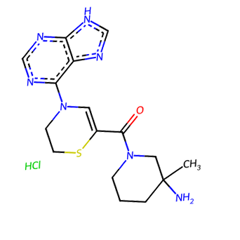 CC1(N)CCCN(C(=O)C2=CN(c3ncnc4[nH]cnc34)CCS2)C1.Cl